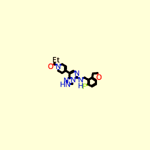 CCC(=O)N1CC=C(C2=CN=C(NCc3c(F)ccc4c3CCO4)N3CNN=C23)CC1